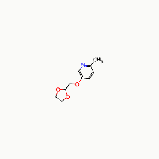 Cc1ccc(OCC2OCCO2)cn1